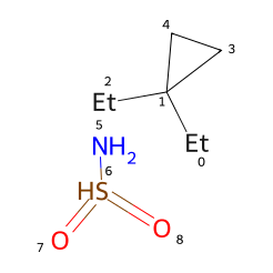 CCC1(CC)CC1.N[SH](=O)=O